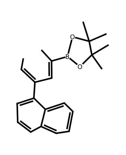 C/C=C(\C=C(/C)B1OC(C)(C)C(C)(C)O1)c1cccc2ccccc12